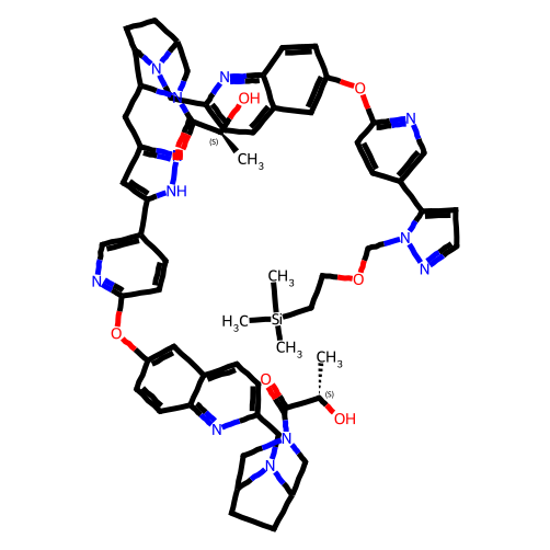 C[C@H](O)C(=O)N1CC2CCC(C1)N2Cc1ccc2cc(Oc3ccc(-c4cc(CC5C6CCC(CN5C(=O)[C@H](C)O)N6Cc5ccc6cc(Oc7ccc(-c8ccnn8COCC[Si](C)(C)C)cn7)ccc6n5)n[nH]4)cn3)ccc2n1